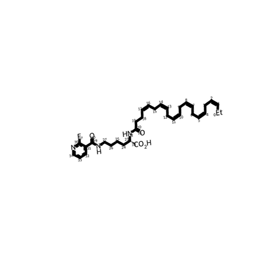 CC/C=C\C/C=C\C/C=C\C/C=C\C/C=C\C/C=C\CCC(=O)N[C@@H](CCCCNC(=O)c1cccnc1F)C(=O)O